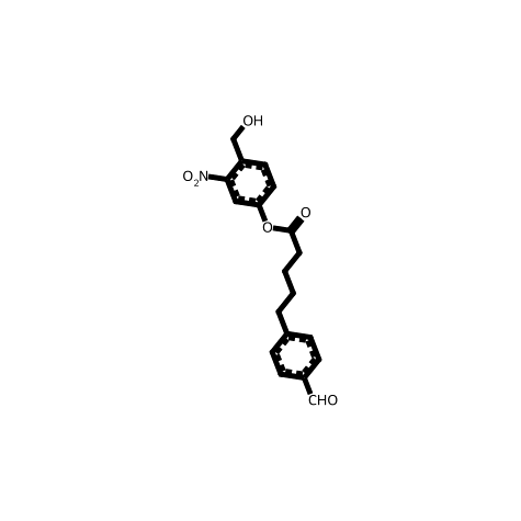 O=Cc1ccc(CCCCC(=O)Oc2ccc(CO)c([N+](=O)[O-])c2)cc1